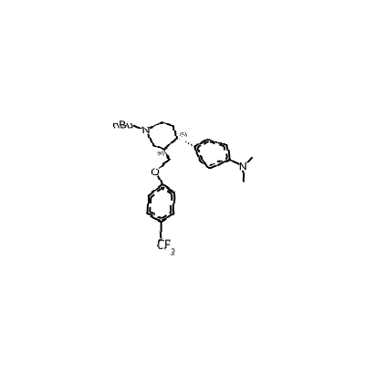 CCCCN1CC[C@H](c2ccc(N(C)C)cc2)[C@@H](COc2ccc(C(F)(F)F)cc2)C1